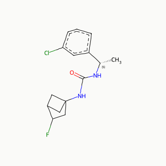 C[C@H](NC(=O)NC12CC(F)C(C1)C2)c1cccc(Cl)c1